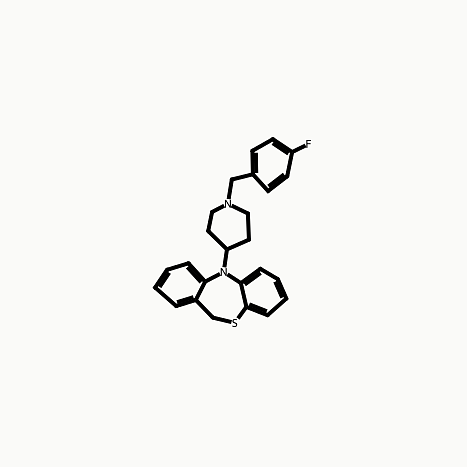 Fc1ccc(CN2CCC(N3c4ccccc4CSc4ccccc43)CC2)cc1